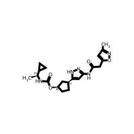 Cc1cc(CC(=O)Nc2cc([C@H]3CC[C@@H](OC(=O)N[C@@H](C)C4CC4)C3)[nH]n2)on1